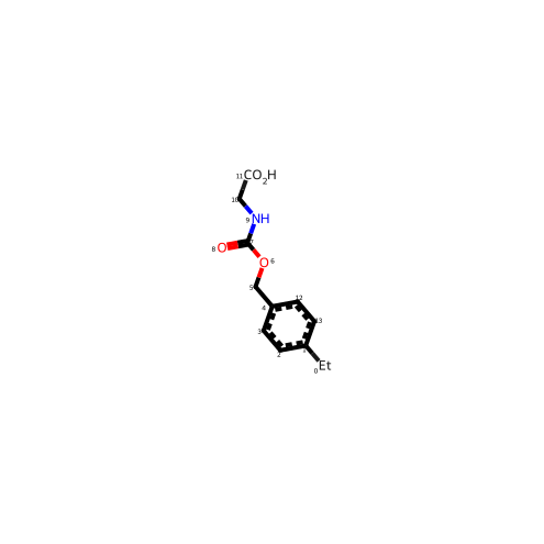 CCc1ccc(COC(=O)NCC(=O)O)cc1